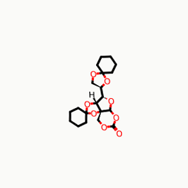 O=C1OC[C@@]23OC4(CCCCC4)O[C@@H]2[C@H]([C@H]2COC4(CCCCC4)O2)OC3O1